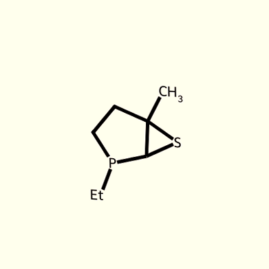 CCP1CCC2(C)SC12